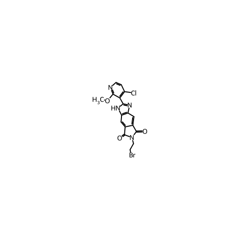 COc1nccc(Cl)c1-c1nc2cc3c(cc2[nH]1)C(=O)N(CCBr)C3=O